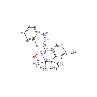 CC1(C)c2cc(Cl)ccc2C(c2cnc3ccccc3c2)=[N+]([O-])C1(C)C